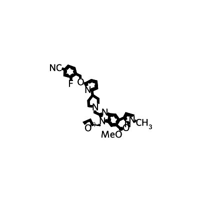 COC(=O)c1cc2c(cc1-c1ccn(C)n1)nc(CN1CCC(c3cccc(OCc4ccc(C#N)cc4F)n3)CC1)n2C[C@@H]1CCO1